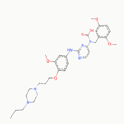 CCCN1CCN(CCCOc2ccc(Nc3nccc(N(Cc4cc(OC)ccc4OC)C(=O)O)n3)cc2OC)CC1